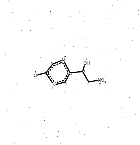 O=[N+]([O-])CC(O)c1cnc(Cl)cn1